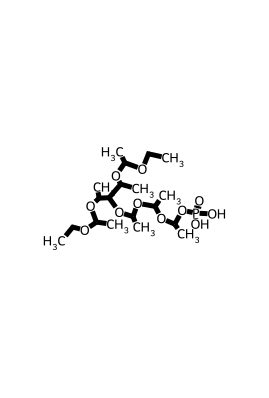 CCOC(C)OC(C)C(OC(C)OC(C)OC(C)OP(=O)(O)O)C(C)OC(C)OCC